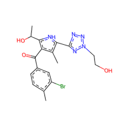 Cc1ccc(C(=O)c2c(C(C)O)[nH]c(-c3nnn(CCO)n3)c2C)cc1Br